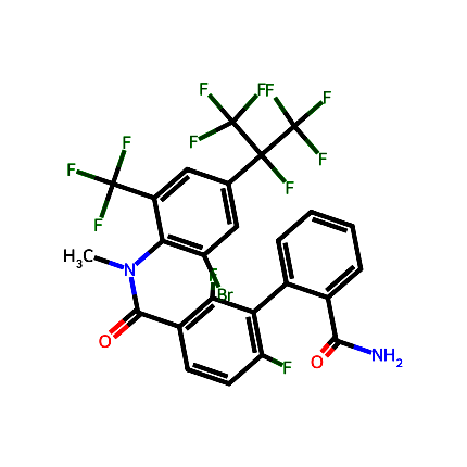 CN(C(=O)c1ccc(F)c(-c2ccccc2C(N)=O)c1F)c1c(Br)cc(C(F)(C(F)(F)F)C(F)(F)F)cc1C(F)(F)F